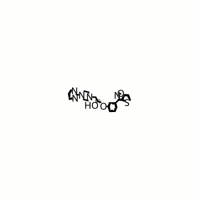 O[C@@H](COc1cccc(-c2noc3ccsc23)c1)CN1CCN(c2ncccn2)CC1